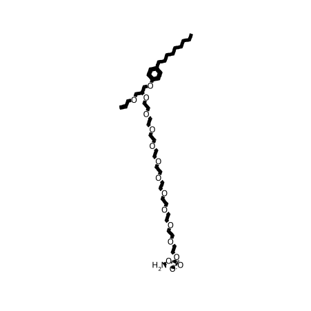 C=CCOCC(COc1ccc(CCCCCCCCC)cc1)OCCOCCOCCOCCOCCOCCOCCOCCOCCOCCO[S+]([O])(=O)ON